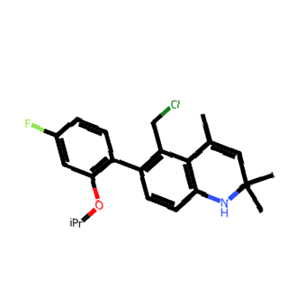 CC1=CC(C)(C)Nc2ccc(-c3ccc(F)cc3OC(C)C)c(CCl)c21